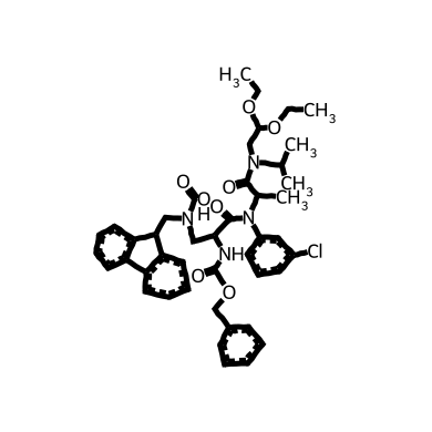 CCOC(CN(C(=O)C(C)N(C(=O)C(CN(CC1c2ccccc2-c2ccccc21)C(=O)O)NC(=O)OCc1ccccc1)c1cccc(Cl)c1)C(C)C)OCC